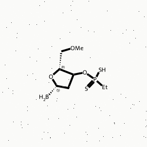 B[C@H]1CC(OP(=S)(S)CC)[C@@H](COC)O1